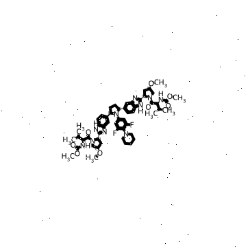 COC(=O)N[C@H](C(=O)N1C[C@@H](OC)C[C@H]1c1nc2cc([C@H]3CC[C@H](c4ccc5[nH]c([C@@H]6C[C@H](OC)CN6C(=O)[C@@H](NC(=O)OC)C(C)C)nc5c4)N3c3cc(F)c(N4CCCCC4)c(F)c3)ccc2[nH]1)C(C)C